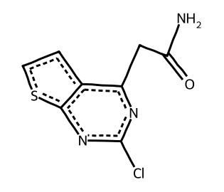 NC(=O)Cc1nc(Cl)nc2sccc12